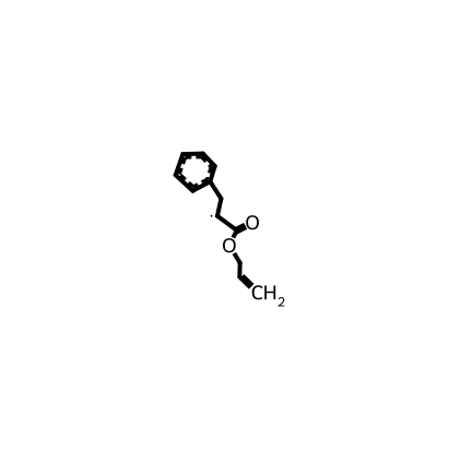 C=CCOC(=O)[CH]Cc1ccccc1